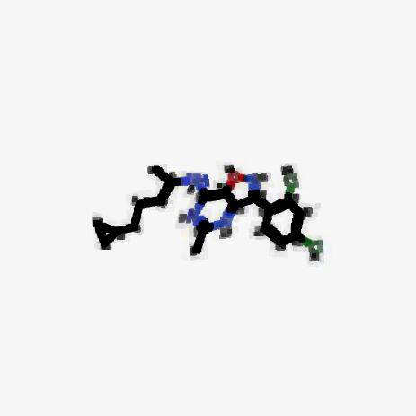 Cc1nc(NC(C)CCCC2CC2)c2onc(-c3ccc(Cl)cc3Cl)c2n1